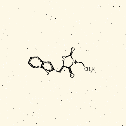 O=C(O)CN1C(=O)S/C(=C\c2cc3ccccc3s2)C1=O